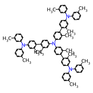 Cc1cccc(N(c2cccc(C)c2)c2ccc(-c3ccc(N(c4ccc(-c5ccc(N(c6cccc(C)c6)c6cccc(C)c6)cc5C)c(C)c4)c4ccc(-c5ccc(N(c6cccc(C)c6)c6cccc(C)c6)cc5C)c(C)c4)cc3C)c(C)c2)c1